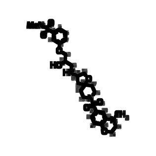 CNS(=O)(=O)c1cccc(OCC(O)CN[C@H]2COC3(CCN(S(=O)(=O)c4ccc5c(c4)N(C)CCO5)CC3)C2)c1